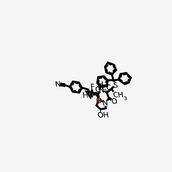 CC(C)(SC(c1ccccc1)(c1ccccc1)c1ccccc1)[C@H](NC(=O)C1(F)CC1)C(=O)N1C[C@H](O)C[C@H]1C(=O)NCc1ccc(C#N)cc1